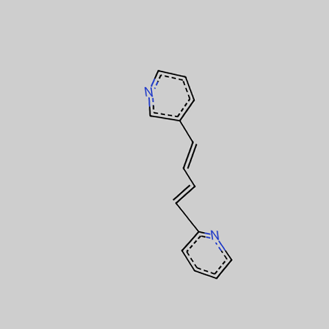 C(C=Cc1ccccn1)=Cc1cccnc1